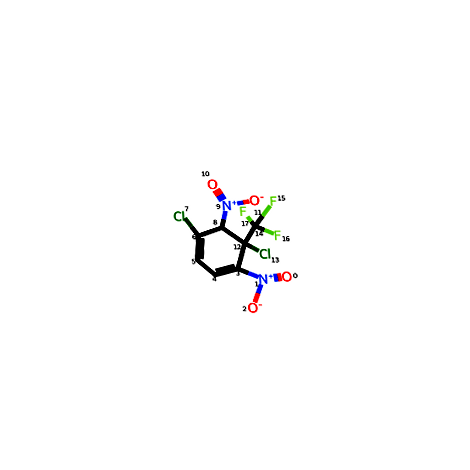 O=[N+]([O-])C1=CC=C(Cl)C([N+](=O)[O-])C1(Cl)C(F)(F)F